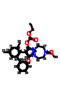 CCOC(=O)Oc1c(-c2c(C)cc(C)cc2-c2ccccc2)c(=O)n2n1CCN(OC)CC2